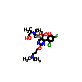 CC(CO)N(C)C.CN(C)CCCOc1ncc(C(=O)O)c(-c2ccc(F)cc2Cl)n1